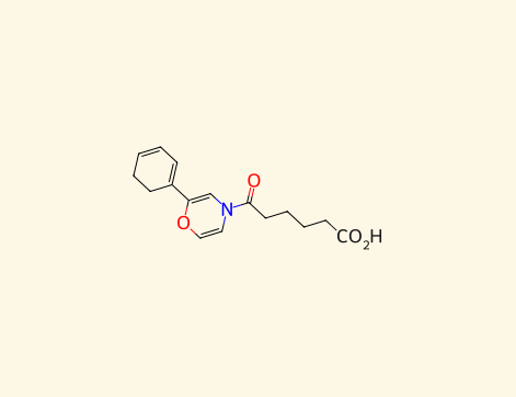 O=C(O)CCCCC(=O)N1C=COC(C2=CC=CCC2)=C1